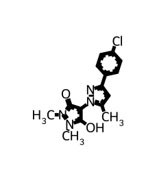 Cc1cc(-c2ccc(Cl)cc2)nn1-c1c(O)n(C)n(C)c1=O